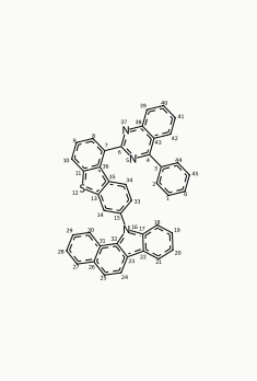 c1ccc(-c2nc(-c3cccc4sc5cc(-n6c7ccccc7c7ccc8ccccc8c76)ccc5c34)nc3ccccc23)cc1